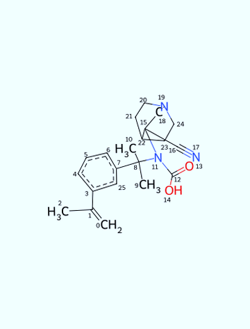 C=C(C)c1cccc(C(C)(C)N(C(=O)O)C2(C#N)CN3CCC2CC3)c1